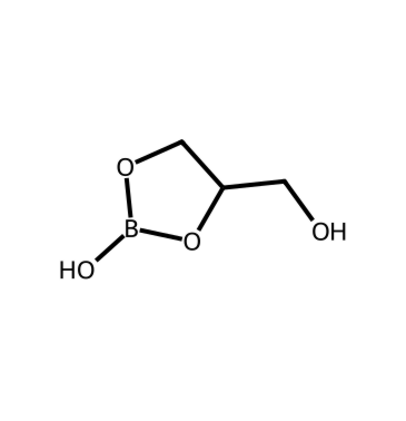 OCC1COB(O)O1